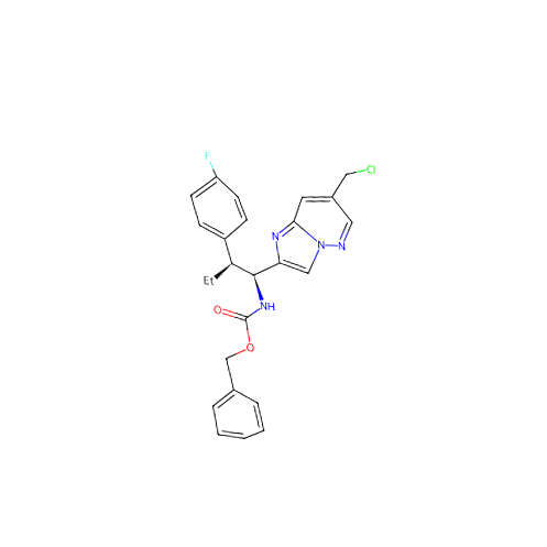 CC[C@@H](c1ccc(F)cc1)[C@H](NC(=O)OCc1ccccc1)c1cn2ncc(CCl)cc2n1